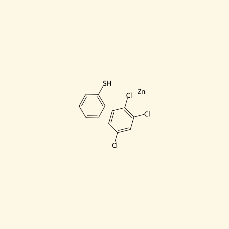 Clc1ccc(Cl)c(Cl)c1.Sc1ccccc1.[Zn]